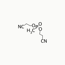 CP(=O)(OCCC#N)OCCC#N